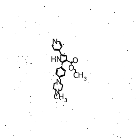 CCOC(=O)c1cc(-c2ccncc2)[nH]c1-c1ccc(N2CCN(C)CC2)cc1